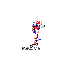 COc1ccc(CC[CH]c2ccccc2OCC(=O)NCCOCCOCCOCC(=O)N[C@H](C(=O)N2C[C@H](O)C[C@H]2C(=O)N[C@@H](C)c2ccc(-c3scnc3C)cc2)C(C)(C)C)cc1OC